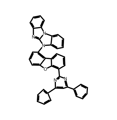 c1ccc(-c2cc(-c3ccccc3)nc(-c3cccc4c3oc3cccc(-n5c6ccccc6n6c7ccccc7nc56)c34)n2)cc1